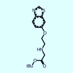 CC(C)(C)OC(=O)CNCCOc1ccc2n[c]sc2c1